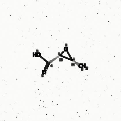 C[C@H]1O[C@H]1C(=O)O